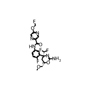 COC[C@@H]1C[C@](c2cc(NC(=O)c3cnc(OCF)cn3)ccc2F)(C(F)F)N=C(N)O1